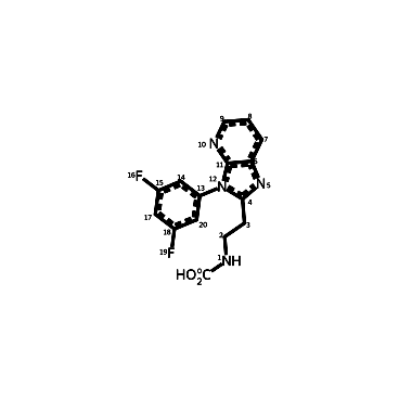 O=C(O)NCCc1nc2cccnc2n1-c1cc(F)cc(F)c1